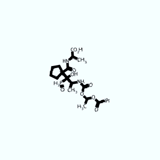 CC(OC(=O)NC(C)C(O)([PH2]=O)C1(C(=O)NC(C)C(=O)O)CCCC1)OC(=O)C(C)C